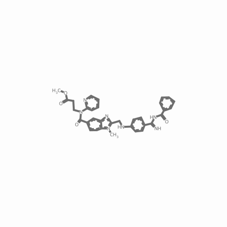 COC(=O)CCN(C(=O)c1ccc2c(c1)nc(CNc1ccc(C(=N)NC(=O)c3ccccc3)cc1)n2C)c1ccccn1